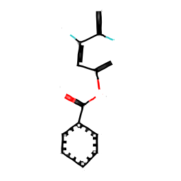 C=C(/C=C(/F)C(=C)F)OC(=O)c1ccccc1